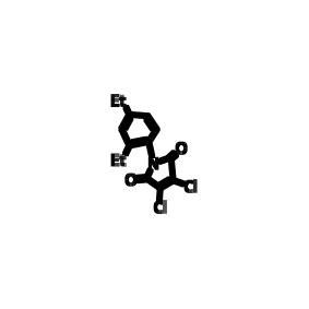 CCc1ccc(N2C(=O)C(Cl)=C(Cl)C2=O)c(CC)c1